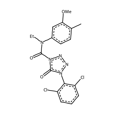 CCN(C(=O)n1nnn(-c2c(Cl)cccc2Cl)c1=O)c1ccc(C)c(OC)c1